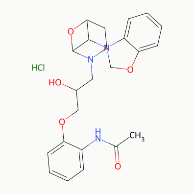 CC(=O)Nc1ccccc1OCC(O)CN1CCC2OC1C2N1COc2ccccc21.Cl